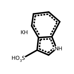 O=S(=O)(O)c1c[nH]c2ccccc12.[KH]